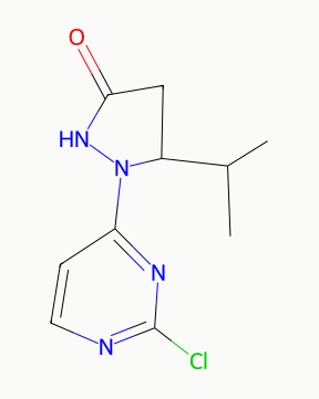 CC(C)C1CC(=O)NN1c1ccnc(Cl)n1